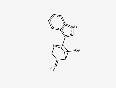 C=C1CN2CCC1C(O)C2c1c[nH]c2ccccc12